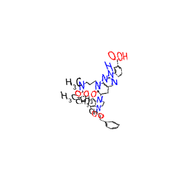 Cc1cccc2c1N(C(=O)OCc1ccccc1)CCN2c1cc2cnc(Nc3cccc(C(=O)O)c3)nc2n(CCCN(C)C(=O)OC(C)(C)C)c1=O